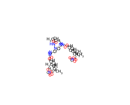 CC([C@H](C)CCC(=O)ON1C(=O)CCC1=O)C1(C)CCC2[C@@H](CC[C@@H]3C[C@H](OC(=O)Cn4cc(-c5ccc6c7ccc(-c8cn(CC(=O)O[C@@H]9CCC%10(C)C%11CCC%12(C)C([C@H](C)CCC(=O)ON%13C(=O)CCC%13=O)CC[C@H]%12[C@@H]%11CC[C@@H]%10C9)nn8)cc7n(CCNC(=O)OC(C)(C)C)c6c5)nn4)CCC23C)C1